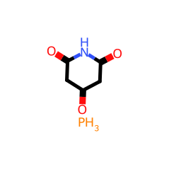 O=C1CC(=O)NC(=O)C1.P